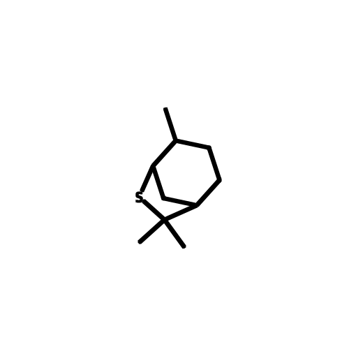 CC1CCC2CC1SC2(C)C